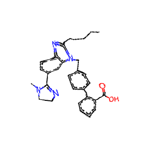 CCCCc1nc2ccc(C3=NCCN3C)cc2n1Cc1ccc(-c2ccccc2C(=O)O)cc1